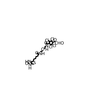 O=CC(=O)c1c(Cl)c(Cl)c(C(=O)NCCOCCNC(=O)CCCCC2SCC3NC(=O)NC32)c(Cl)c1Cl